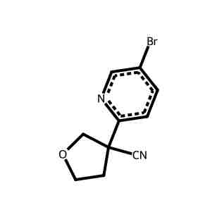 N#CC1(c2ccc(Br)cn2)CCOC1